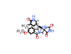 COc1ccc2c(c1)C(=O)N(C[C@@]1(C#Cc3c[nH]c(=O)c(C)c3)NC(=O)NC1=O)C2